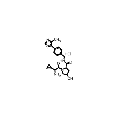 Cc1ncsc1-c1ccc(CNC(=O)[C@H]2C[C@@H](O)CN2C(=O)C(N)C2CC2)cc1.Cl